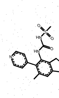 Cc1cc2c(c(NC(=O)NS(C)(=O)=O)c1-c1ccncc1)CCC2